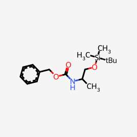 CC(CO[Si](C)(C)C(C)(C)C)NC(=O)OCc1ccccc1